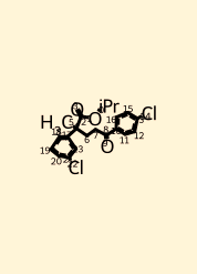 CC(C)OC(=O)C(C)(CCC(=O)c1ccc(Cl)cc1)c1cccc(Cl)c1